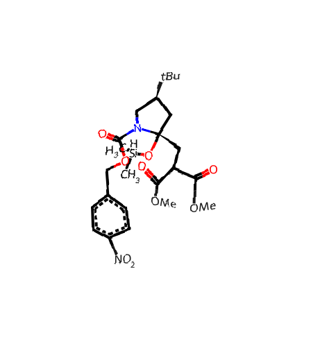 COC(=O)C(C[C@]1(O[SiH](C)C)C[C@H](C(C)(C)C)CN1C(=O)OCc1ccc([N+](=O)[O-])cc1)C(=O)OC